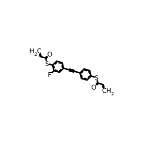 C=CC(=O)Sc1ccc(C#Cc2ccc(SC(=O)C=C)c(F)c2)cc1